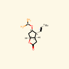 CC[C@@H](C)/C=C/[C@@H]1[C@H]2CC(=O)O[C@H]2C[C@H]1OB(P)P